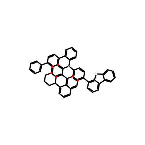 c1ccc(-c2ccc(-c3ccccc3N(c3ccc(-c4cccc5c4oc4ccccc45)cc3)c3ccccc3-c3cccc4cccc(C5CCCCC5)c34)cc2)cc1